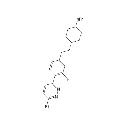 CCCC1CCC(CCc2ccc(-c3ccc(CC)nn3)c(F)c2)CC1